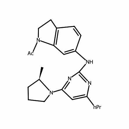 CCCc1cc(N2CCC[C@H]2C)nc(Nc2ccc3c(c2)N(C(C)=O)CC3)n1